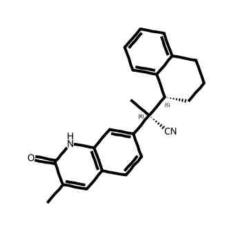 Cc1cc2ccc([C@](C)(C#N)[C@H]3CCCc4ccccc43)cc2[nH]c1=O